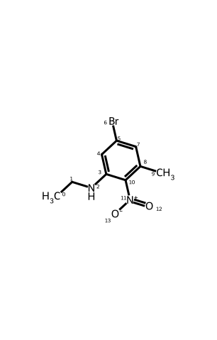 CCNc1cc(Br)cc(C)c1[N+](=O)[O-]